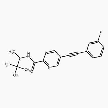 CC(NC(=O)c1ccc(C#Cc2cccc(F)c2)cn1)C(C)(C)O